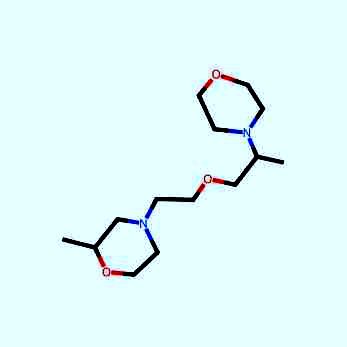 CC1CN(CCOCC(C)N2CCOCC2)CCO1